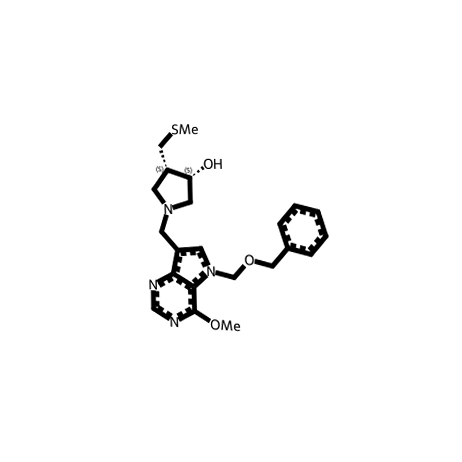 COc1ncnc2c(CN3C[C@H](CSC)[C@H](O)C3)cn(COCc3ccccc3)c12